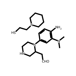 CN(C)c1cc(N2CCNCC2CC=O)ccc1N.SCCN1CCCCC1